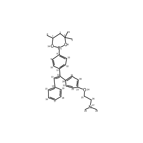 CC1CC(C)(C)OB(c2ccc(/C(=C/c3ccccc3)c3ccc(OCCN(C)C)cc3)cc2)O1